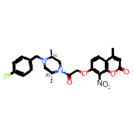 Cc1cc(=O)oc2c([N+](=O)[O-])c(OCC(=O)N3C[C@H](C)N(Cc4ccc(F)cc4)C[C@H]3C)ccc12